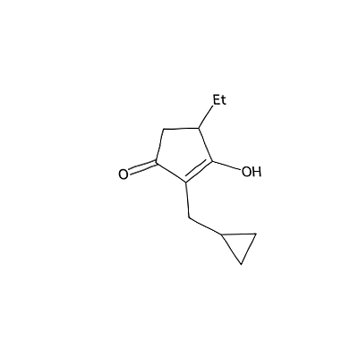 CCC1CC(=O)C(CC2CC2)=C1O